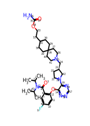 CC(C)N(C(=O)c1cc(F)ccc1Oc1nncnc1N1CC[C@@H](CN2CCC3(CCC(CCOC(N)=O)CC3)CC2)C1)C(C)C